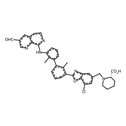 Cc1c(Nc2nccc3cc(C=O)cnc23)cccc1-c1cccc(-c2nc3cc(CN4CCCC[C@H]4C(=O)O)cc(Cl)c3o2)c1C